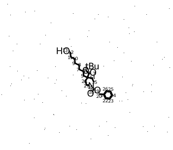 CC(C)(C)OC(=O)C1(CCCCCCCCO)CCN(C(=O)OCc2ccccc2)CC1